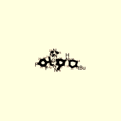 C[C@@H](n1ncc2cc(NC3CCC(C(C)(C)C)CC3)ccc21)[C@](O)(Cn1cncn1)c1ccc(F)cc1F